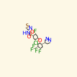 O=S(=O)(Nc1cscn1)c1cc(Cl)c(Oc2cc(C(F)(F)F)c(F)cc2-c2ccnnc2)cc1F